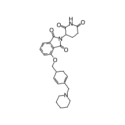 O=C1CCC(N2C(=O)c3cccc(OCC4C=CC(CN5CCCCC5)=CC4)c3C2=O)C(=O)N1